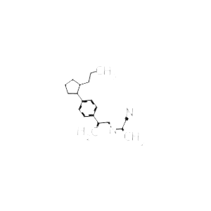 C=C(C#N)/N=C/C(=C)c1ccc(C2CCCC2CCC)cc1